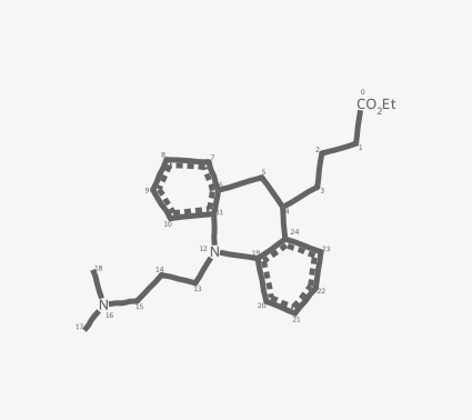 CCOC(=O)CCCC1Cc2ccccc2N(CCCN(C)C)c2ccccc21